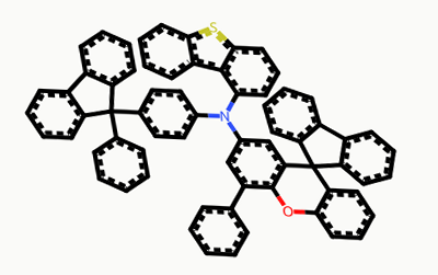 c1ccc(-c2cc(N(c3ccc(C4(c5ccccc5)c5ccccc5-c5ccccc54)cc3)c3cccc4sc5ccccc5c34)cc3c2Oc2ccccc2C32c3ccccc3-c3ccccc32)cc1